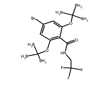 BC(B)(B)Oc1cc(Br)cc(OC(B)(B)B)c1C(=O)NCC(F)(F)F